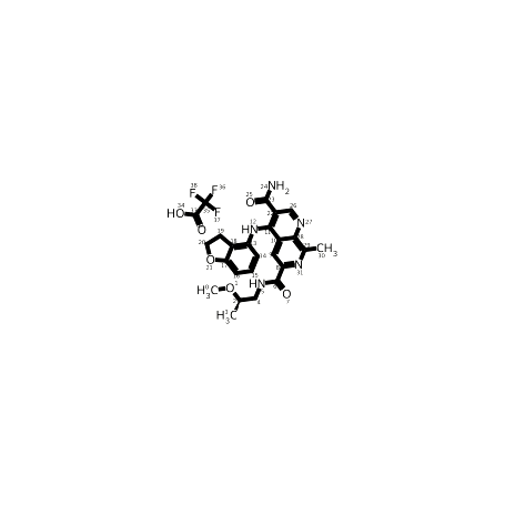 CO[C@H](C)CNC(=O)c1cc2c(Nc3cccc4c3CCO4)c(C(N)=O)cnc2c(C)n1.O=C(O)C(F)(F)F